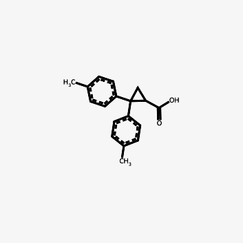 Cc1ccc(C2(c3ccc(C)cc3)CC2C(=O)O)cc1